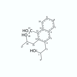 CC(O)Cc1cc2ccccc2c(C(=O)O)c1CC(C)O